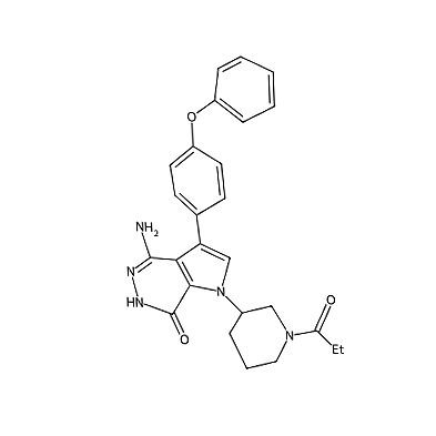 CCC(=O)N1CCCC(n2cc(-c3ccc(Oc4ccccc4)cc3)c3c(N)n[nH]c(=O)c32)C1